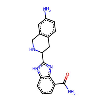 NC(=O)c1cccc2[nH]c(C3Cc4ccc(N)cc4CN3)nc12